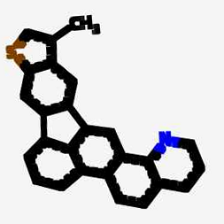 Cc1csc2cc3c(cc12)-c1cc2c(ccc4cccnc42)c2cccc-3c12